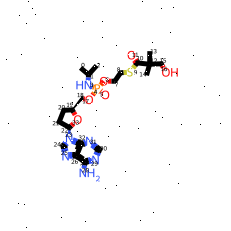 CC(C)NP(=O)(OCCSC(=O)C(C)(C)CO)OC[C@@H]1CC[C@H](n2cnc3c(N)ncnc32)O1